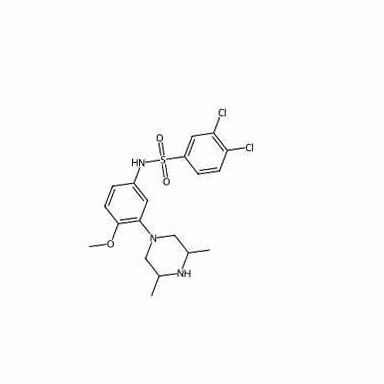 COc1ccc(NS(=O)(=O)c2ccc(Cl)c(Cl)c2)cc1N1CC(C)NC(C)C1